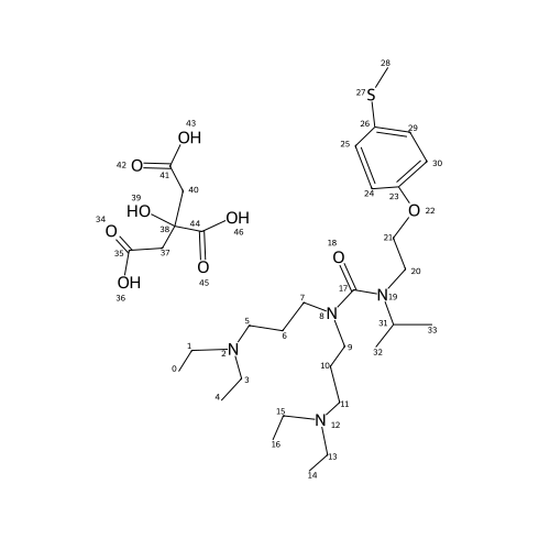 CCN(CC)CCCN(CCCN(CC)CC)C(=O)N(CCOc1ccc(SC)cc1)C(C)C.O=C(O)CC(O)(CC(=O)O)C(=O)O